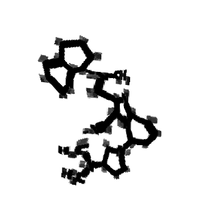 CN(C)[C@@H]1CCN(c2cccc3nc(CN(C)[C@H]4CCCc5cccnc54)c(C#N)n23)C1